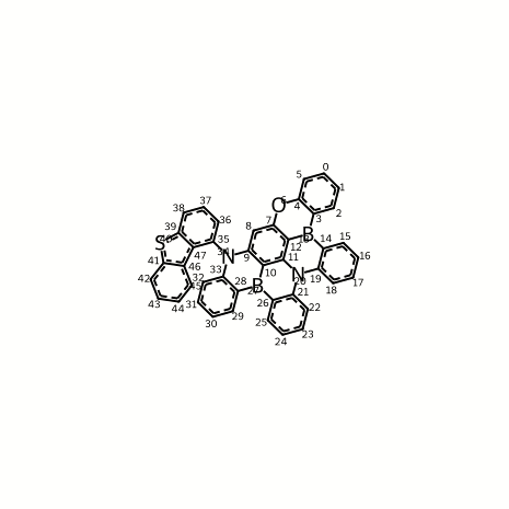 c1ccc2c(c1)Oc1cc3c4c5c1B2c1ccccc1N5c1ccccc1B4c1ccccc1N3c1cccc2sc3ccccc3c12